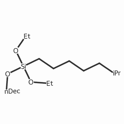 CCCCCCCCCCO[Si](CCCCCC(C)C)(OCC)OCC